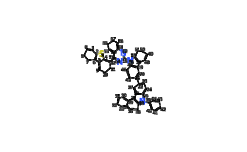 C1=Cc2sc3c(c2CC1)=CCCC=3c1nc(-n2c3c(c4cc(-c5ccc6c(c5)c5c7ccccc7ccc5n6-c5ccccc5)ccc42)C=CCC3)nc2c1=CCCC=2